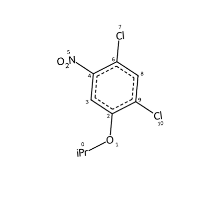 CC(C)Oc1cc([N+](=O)[O-])c(Cl)cc1Cl